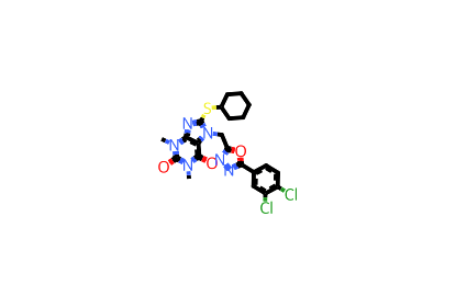 Cn1c(=O)c2c(nc(SC3CCCCC3)n2Cc2nnc(-c3ccc(Cl)c(Cl)c3)o2)n(C)c1=O